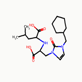 CC(C)CC(NC(Cn1ccn(CC2CCCCC2)c1=O)C(=O)O)C(=O)O